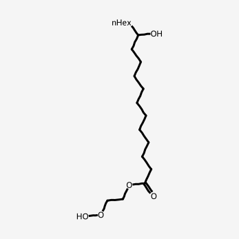 CCCCCCC(O)CCCCCCCCCCC(=O)OCCOO